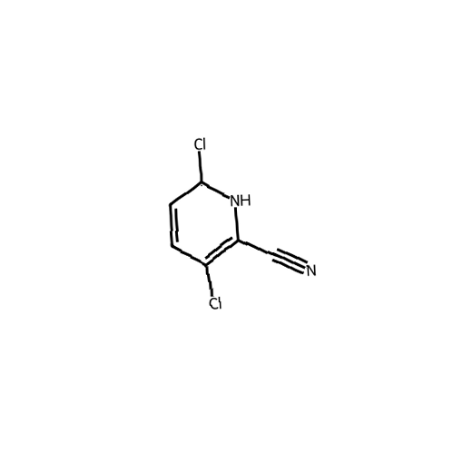 N#CC1=C(Cl)C=C[C](Cl)N1